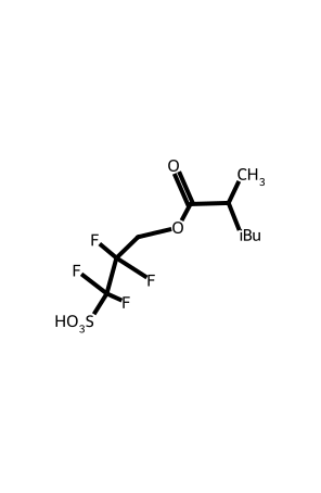 CCC(C)C(C)C(=O)OCC(F)(F)C(F)(F)S(=O)(=O)O